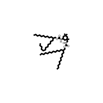 CCCCCCCCCCCCC(CCCCCCCCCC)COC(=O)NCC1(C)CC(NC(=O)OCC(CCCCCCCCCC)CCCCCCCCCCCC)CC(C)(C)C1